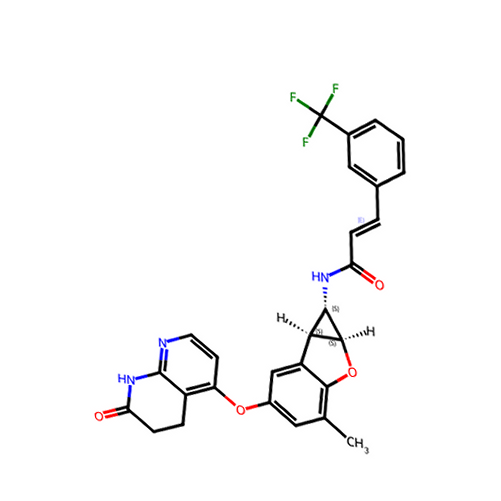 Cc1cc(Oc2ccnc3c2CCC(=O)N3)cc2c1O[C@@H]1[C@@H](NC(=O)/C=C/c3cccc(C(F)(F)F)c3)[C@H]21